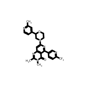 Cc1cc(C2CN(c3cc4nc(C)n(C)c(=O)c4c(-c4ccc(C(F)(F)F)nc4)n3)CCO2)ccn1